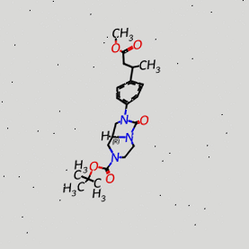 COC(=O)CC(C)c1ccc(N2C[C@@H]3CN(C(=O)OC(C)(C)C)CCN3C2=O)cc1